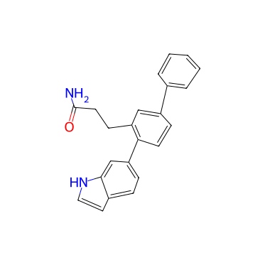 NC(=O)CCc1cc(-c2ccccc2)ccc1-c1ccc2cc[nH]c2c1